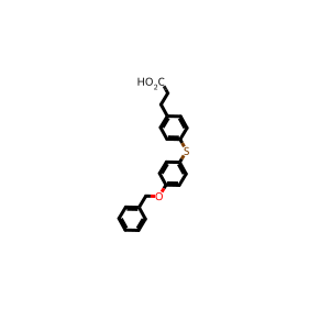 O=C(O)CCc1ccc(Sc2ccc(OCc3ccccc3)cc2)cc1